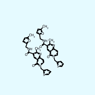 Cc1ccc(CNC(=O)c2cc3c(=O)n(Cc4cccs4)ccc3nc2C)o1.Cc1ccc(CNC(=O)c2cc3c(=O)n(Cc4cccs4)ccc3nc2C)o1